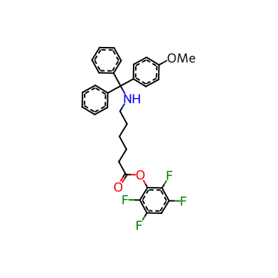 COc1ccc(C(NCCCCCC(=O)Oc2c(F)c(F)cc(F)c2F)(c2ccccc2)c2ccccc2)cc1